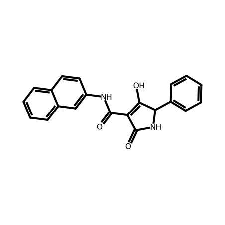 O=C(Nc1ccc2ccccc2c1)C1=C(O)C(c2ccccc2)NC1=O